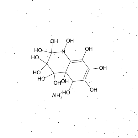 OC1=C(O)C(O)C2(O)C(=C1O)N(O)C(O)(O)C(O)(O)C2(O)O.[AlH3]